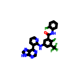 O=C(Nc1ccccc1F)c1cc(Nc2ncccc2-c2ncnc3[nH]cnc23)cc(C(F)(F)F)c1F